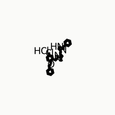 Cc1cc(-c2c[nH]c(-c3ccccc3)n2)nn1Cc1cc(Cl)ccc1OCc1ccccc1.Cl